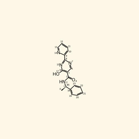 C[C@@H](NC(=O)c1cnc(-c2ccccn2)nc1O)c1cc[c]cc1